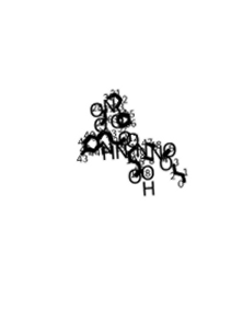 CCCCOC(=O)N1CCN(C(=O)C(CCC(=O)O)NC(=O)c2cc(OCC(=O)N3CCC[C@H]3c3ccco3)c3ccc(C)cc3n2)CC1